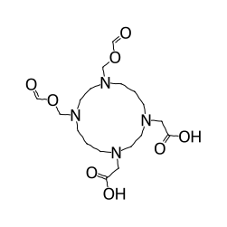 O=COCN1CCCN(CC(=O)O)CCN(CC(=O)O)CCCN(COC=O)CC1